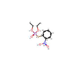 CCOP(=O)(OCC)Sc1ccccc1[N+](=O)[O-]